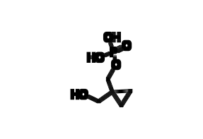 O=P(O)(O)OCC1(CO)CC1